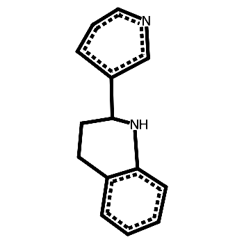 c1cncc(C2CCc3ccccc3N2)c1